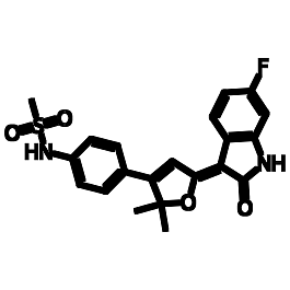 CC1(C)OC(=C2C(=O)Nc3cc(F)ccc32)C=C1c1ccc(NS(C)(=O)=O)cc1